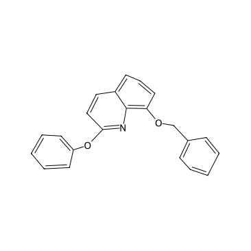 c1ccc(COc2cccc3ccc(Oc4ccccc4)nc23)cc1